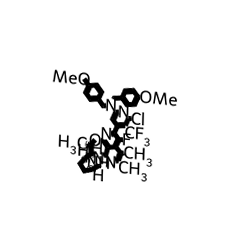 COc1ccc(CN(Cc2ccc(OC)cc2)c2cc(-c3nc4c5c(nc(C)c(C)c5c3F)N3C[C@H]5CC[C@H](N5)[C@H]3[C@H](C)O4)c(C(F)(F)F)c(Cl)n2)cc1